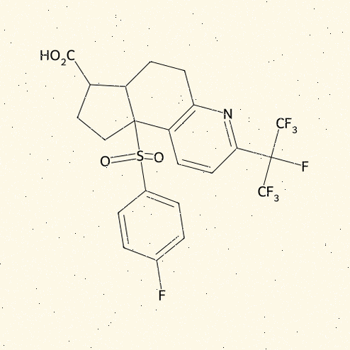 O=C(O)C1CCC2(S(=O)(=O)c3ccc(F)cc3)c3ccc(C(F)(C(F)(F)F)C(F)(F)F)nc3CCC12